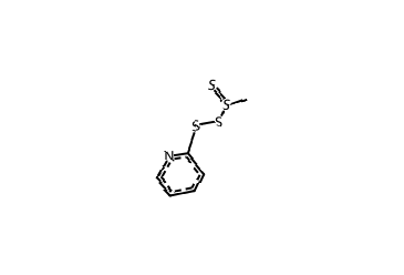 CS(=S)SSc1ccccn1